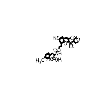 CCN(C(=O)C(C#N)=Cc1cc(C#N)cc(CCOC(=O)NC(Cc2ccc(C)cc2)B(O)O)c1)C1CCOCC1